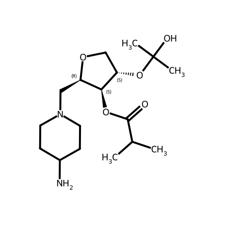 CC(C)C(=O)O[C@@H]1[C@@H](OC(C)(C)O)CO[C@@H]1CN1CCC(N)CC1